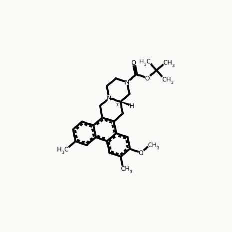 COc1cc2c3c(c4ccc(C)cc4c2cc1C)CN1CCN(C(=O)OC(C)(C)C)C[C@@H]1C3